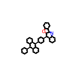 c1ccc(-c2c3ccccc3c(-c3ccc(-c4c5ccccc5nc5c4oc4ccccc45)cc3)c3ccccc23)cc1